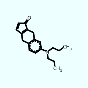 CCCN(CCC)c1ccc2c(c1)CC1=C(C=CC1=O)C2